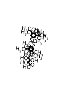 CC(C)(Sc1cc(C(C)(C)C)c(O)c(C(C)(C)C)c1)Sc1cc(C(C)(C)C)c(OC[C@@H](O)[C@@H](O)[C@@H](O)C(=O)O)c(C(C)(C)C)c1